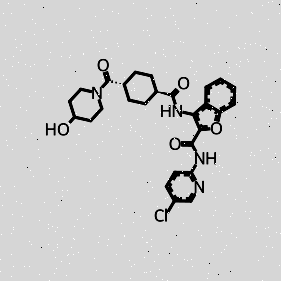 O=C(Nc1ccc(Cl)cn1)c1oc2ccccc2c1NC(=O)[C@H]1CC[C@H](C(=O)N2CCC(O)CC2)CC1